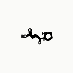 O=C(O)C=CC(=O)[C@@H]1CCCN1